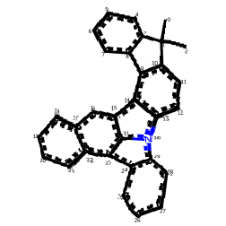 CC1(C)c2ccccc2-c2c1ccc1c2c2cc3ccccc3c3c4ccccc4n1c23